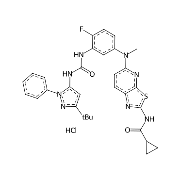 CN(c1ccc(F)c(NC(=O)Nc2cc(C(C)(C)C)nn2-c2ccccc2)c1)c1ccc2nc(NC(=O)C3CC3)sc2n1.Cl